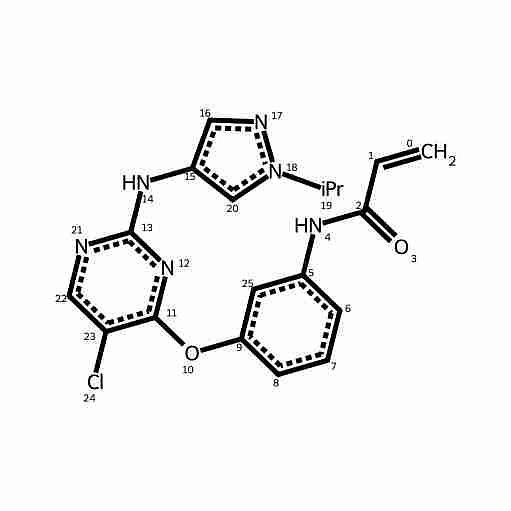 C=CC(=O)Nc1cccc(Oc2nc(Nc3cnn(C(C)C)c3)ncc2Cl)c1